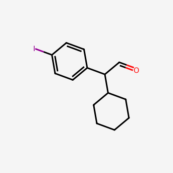 O=CC(c1ccc(I)cc1)C1CCCCC1